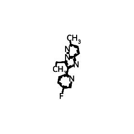 CCc1c(-c2ccc(F)cn2)nc2ccc(C)nn12